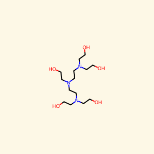 OCCN(CCO)CCN(CCO)CCN(CCO)CCO